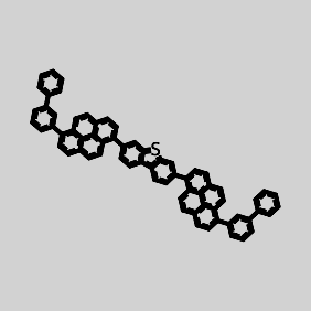 c1ccc(-c2cccc(-c3ccc4ccc5c(-c6ccc7c(c6)sc6cc(-c8ccc9ccc%10c(-c%11cccc(-c%12ccccc%12)c%11)ccc%11ccc8c9c%11%10)ccc67)ccc6ccc3c4c65)c2)cc1